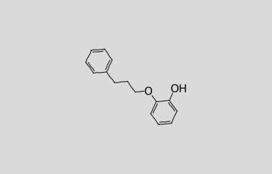 Oc1ccccc1OCCCc1ccccc1